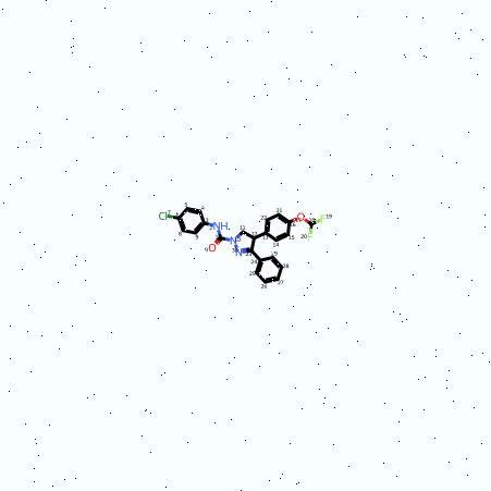 O=C(Nc1ccc(Cl)cc1)N1CC(c2ccc(OC(F)F)cc2)C(c2ccccc2)=N1